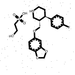 Fc1ccc([C@@H]2CCNC[C@H]2COc2ccc3c(c2)OCO3)cc1.O=S(=O)(O)CCO